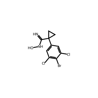 N=C(NO)C1(c2cc(Cl)c(Br)c(Cl)c2)CC1